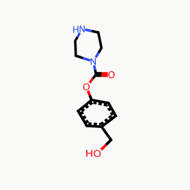 O=C(Oc1ccc(CO)cc1)N1CCNCC1